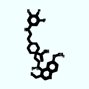 COc1ccc2ncc(CF)c([C@H](F)CCC3(C(=O)O)CCN(CCNc4cc(F)c(F)c(F)c4)CC3)c2c1